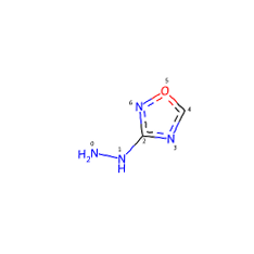 NNc1ncon1